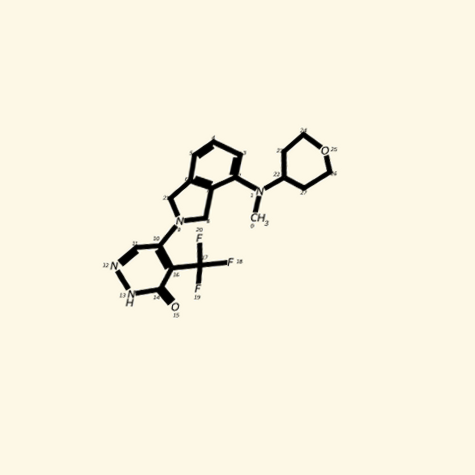 CN(c1cccc2c1CN(c1cn[nH]c(=O)c1C(F)(F)F)C2)C1CCOCC1